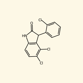 O=C1Nc2ccc(Cl)c(Cl)c2C1c1ccccc1Cl